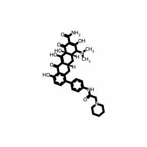 CN(C)C1C(O)=C(C(N)=O)C(=O)[C@@]2(O)C(O)=C3C(=O)c4c(O)ccc(-c5ccc(NC(=O)CN6CCCCC6)cc5)c4C[C@H]3C[C@@H]12